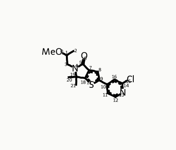 COC(C)CN1C(=O)c2cc(-c3ccnc(Cl)c3)sc2C1(C)C